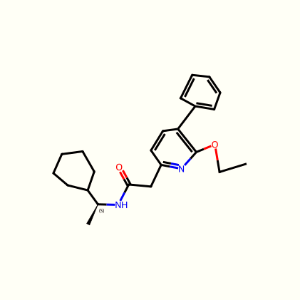 CCOc1nc(CC(=O)N[C@@H](C)C2CCCCC2)ccc1-c1ccccc1